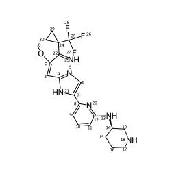 CO/C(=C/c1ncc(-c2cccc(N[C@@H]3CCCNC3)n2)[nH]1)C(=N)C1(C(F)(F)F)CC1